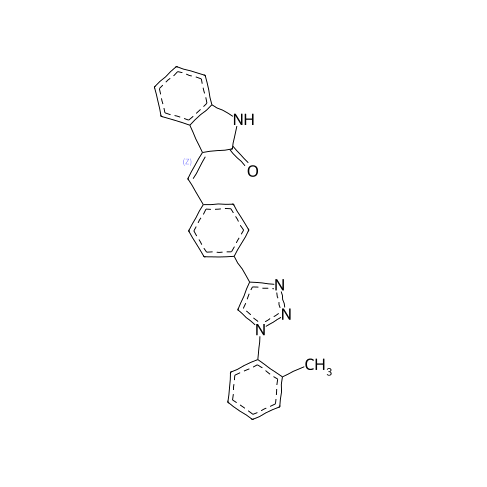 Cc1ccccc1-n1cc(-c2ccc(/C=C3\C(=O)Nc4ccccc43)cc2)nn1